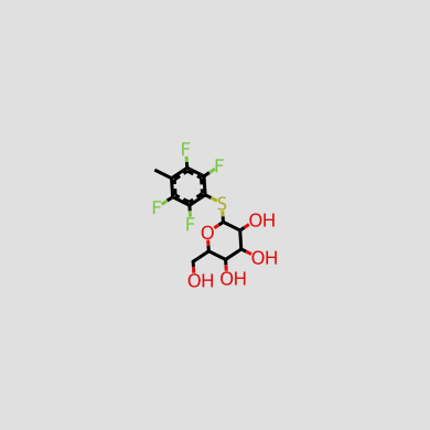 Cc1c(F)c(F)c(SC2OC(CO)C(O)C(O)C2O)c(F)c1F